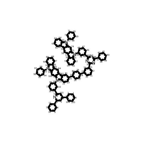 c1ccc(-c2cc(-c3ccccc3)nc(-c3cccc(-n4c5ccc(-c6ccc(-c7cccc(-c8nc(-c9ccccc9)nc(-c9cccc(-n%10c%11ccccc%11c%11cc%12c%13ccccc%13n(-c%13ccccc%13)c%12cc%11%10)c9)n8)c7)cc6)cc5c5cc6c7ccccc7n(-c7ccccc7)c6cc54)c3)c2)cc1